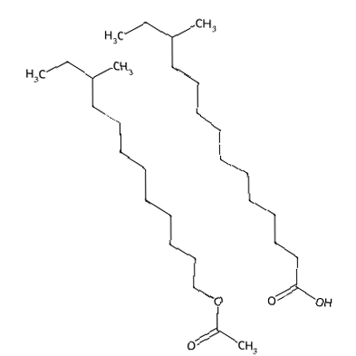 CCC(C)CCCCCCCCCCC(=O)O.CCC(C)CCCCCCCCCOC(C)=O